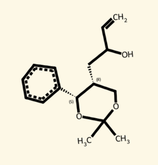 C=CC(O)C[C@@H]1COC(C)(C)O[C@@H]1c1ccccc1